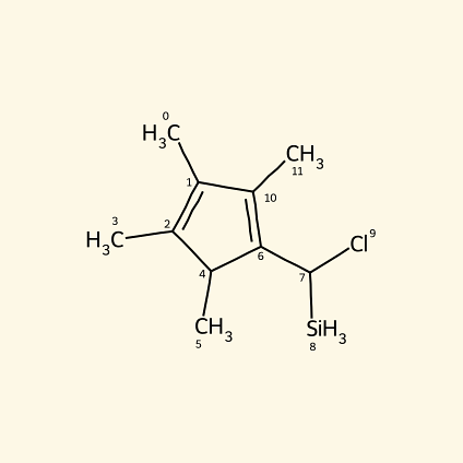 CC1=C(C)C(C)C(C([SiH3])Cl)=C1C